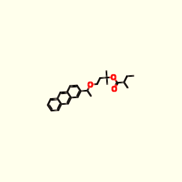 CCC(C)C(=O)OC(C)(C)CCOC(C)c1ccc2cc3ccccc3cc2c1